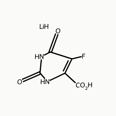 O=C(O)c1[nH]c(=O)[nH]c(=O)c1F.[LiH]